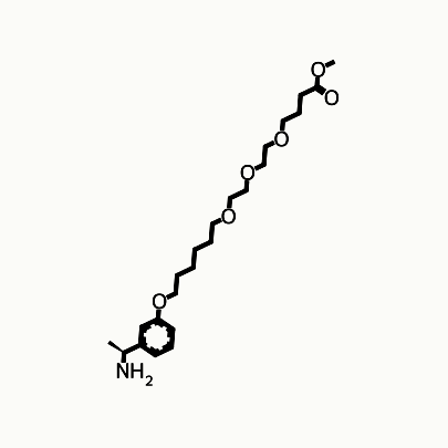 COC(=O)CCCOCCOCCOCCCCCCOc1cccc([C@H](C)N)c1